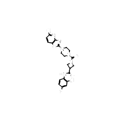 O=C(Nc1ccc(F)cc1Cl)C1CN(C(=O)N2CCN(c3nc4nc(Cl)ccc4o3)CC2)C1